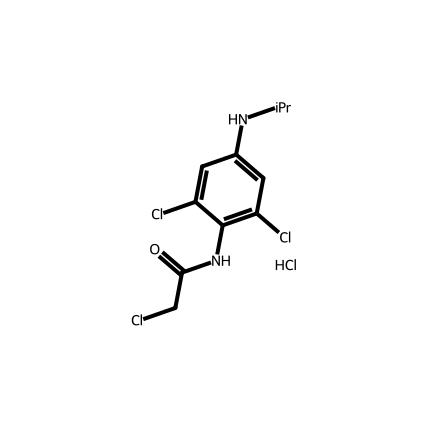 CC(C)Nc1cc(Cl)c(NC(=O)CCl)c(Cl)c1.Cl